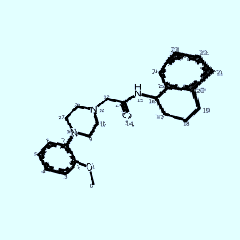 COc1ccccc1N1CCN(CC(=O)NC2CCCc3ccccc32)CC1